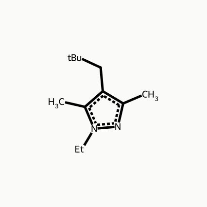 CCn1nc(C)c(CC(C)(C)C)c1C